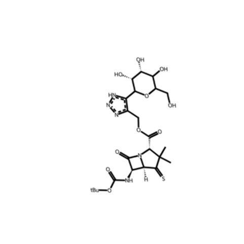 CC(C)(C)OC(=O)N[C@H]1C(=O)N2[C@H]1C(=S)C(C)(C)[C@H]2C(=O)OCc1nn[nH]c1C1OC(CO)C(O)[C@@H](O)[C@H]1O